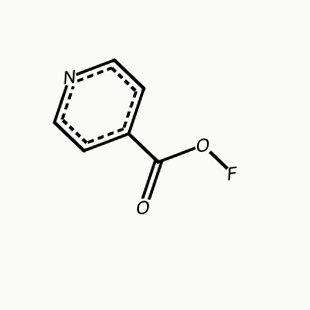 O=C(OF)c1ccncc1